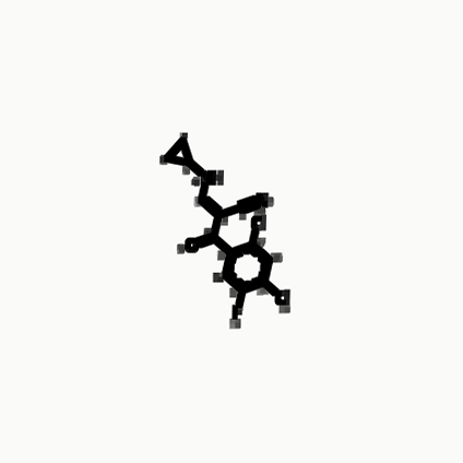 N#C/C(=C\NC1CC1)C(=O)c1cc(F)c(Cl)cc1Cl